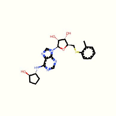 Cc1ccccc1SC[C@H]1O[C@@H](n2cnc3c(N[C@@H]4CCC[C@H]4O)ncnc32)[C@H](O)[C@@H]1O